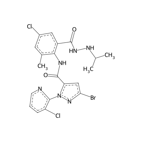 Cc1cc(Cl)cc(C(=O)NNC(C)C)c1NC(=O)c1cc(Br)nn1-c1ncccc1Cl